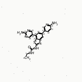 CCNC(=O)Nc1nc2cc(-c3ccc(N)nc3)cc(-c3cnc(N)nc3)c2s1